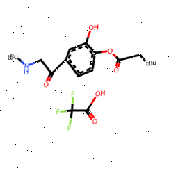 CC(C)(C)CC(=O)Oc1ccc(C(=O)CNC(C)(C)C)cc1O.O=C(O)C(F)(F)F